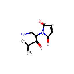 CC(C)C(=O)C(CN)N1C(=O)C=CC1=O